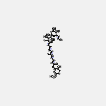 CC/C=C/C1OC(O)(C(O)C(O)C(C)/C(Cl)=C/C=C/C=C(C)/C=C/C=C/C(=O)OC2CC(C(=O)O)CCC2O)CC(O)C1Cl